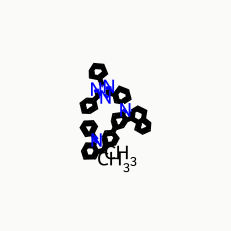 CC1(C)c2ccccc2N(c2ccccc2)c2cc(-c3ccc4c(c3)c3c5ccccc5ccc3n4-c3cccc(-c4nc(-c5ccccc5)nc(-c5ccccc5)n4)c3)ccc21